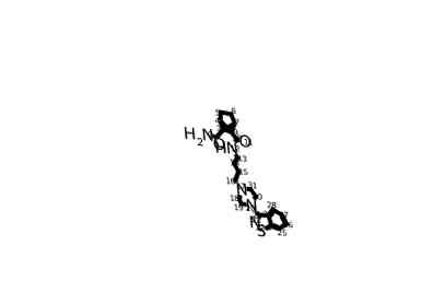 NC(=O)C1C2CCC(C2)C1C(=O)NCCCCN1CCN(c2nsc3ccccc23)CC1